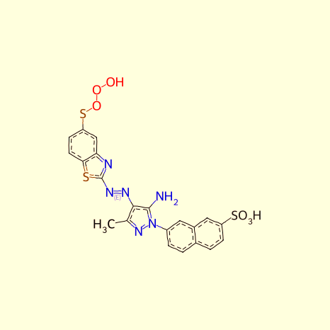 Cc1nn(-c2ccc3ccc(S(=O)(=O)O)cc3c2)c(N)c1/N=N/c1nc2cc(SOOO)ccc2s1